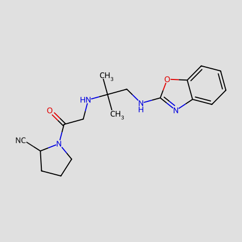 CC(C)(CNc1nc2ccccc2o1)NCC(=O)N1CCCC1C#N